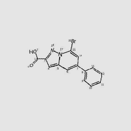 O=C(O)c1cc2cc(-c3ccccc3)cc(Br)n2n1